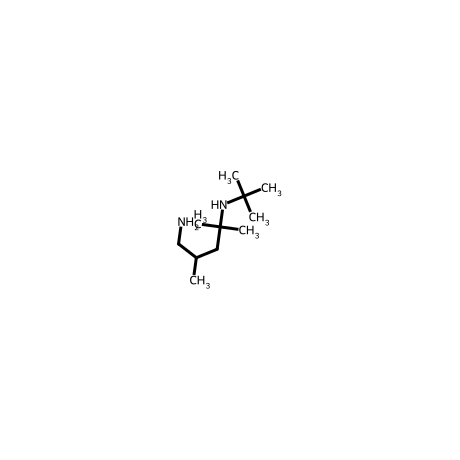 CC(CN)CC(C)(C)NC(C)(C)C